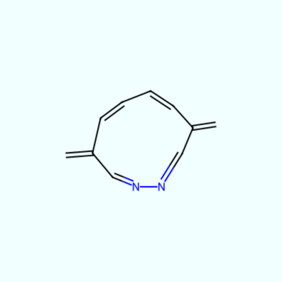 C=c1ccccc(=C)cnnc1